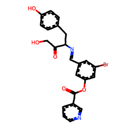 O=C(Oc1cc(Br)cc(C=NC(Cc2ccc(O)cc2)C(=O)CO)c1)c1cccnc1